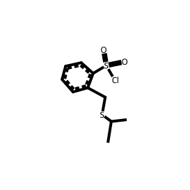 CC(C)SCc1ccccc1S(=O)(=O)Cl